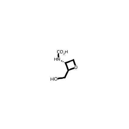 O=C(O)N[C@@H]1COC1CO